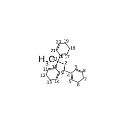 CC(CCC1=CCCC=C1)(C1=CCCC=C1)C1=CCCC=C1